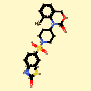 Cc1cccc2c1N(C1CCN(S(=O)(=O)c3ccc4[nH]c(=O)sc4c3)CC1)C(=O)OC2